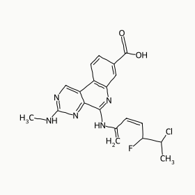 C=C(/C=C\C(F)C(C)Cl)Nc1nc2cc(C(=O)O)ccc2c2cnc(NC)nc12